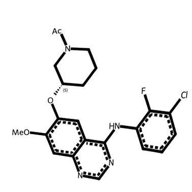 COc1cc2ncnc(Nc3cccc(Cl)c3F)c2cc1O[C@H]1CCCN(C(C)=O)C1